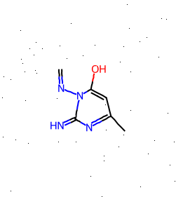 C=Nn1c(O)cc(C)nc1=N